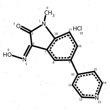 CN1C(=O)C(=NO)c2cc(-c3ccncc3)ccc21.Cl